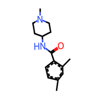 Cc1ccc(C(=O)NC2CCN(C)CC2)c(C)c1